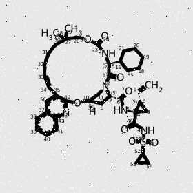 C=C[C@@H]1C[C@]1(NC(=O)[C@@H]1C[C@@H]2CN1C(=O)[C@H](C1CCCCC1)NC(=O)OCC(C)(C)CCCC=Cc1cc3ccccc3nc1O2)C(=O)NS(=O)(=O)C1CC1